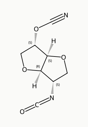 N#CO[C@H]1CO[C@H]2[C@@H]1OC[C@@H]2N=C=O